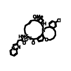 CO[C@H]1/C=C/CCCS(=O)(NC(=O)Cc2cn3ccccc3n2)=NC(=O)c2ccc3c(c2)N(Cc2ccc(Cl)cc2CCCCO3)C[C@@H]2CC[C@H]21